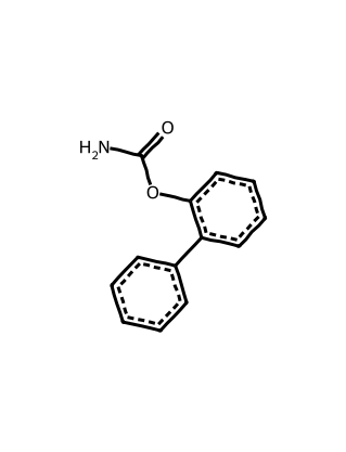 NC(=O)Oc1ccccc1-c1ccccc1